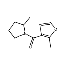 Cc1occc1C(=O)N1CCCC1C